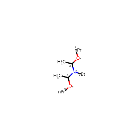 C[CH]N(C(C)OCCC)C(C)OCCC